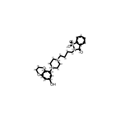 O=C1c2ccccc2S(=O)(=O)N1CCCCN1CCN(c2cc(O)cc3c2OCCO3)CC1